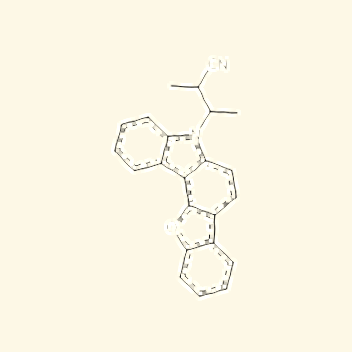 CC(C#N)C(C)n1c2ccccc2c2c3oc4ccccc4c3ccc21